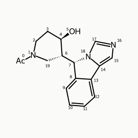 CC(=O)N1CC[C@@H](O)[C@H]([C@H]2c3ccccc3-c3cncn32)C1